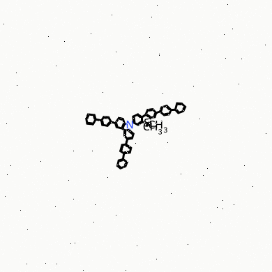 C[Si]1(C)c2cc(-c3ccc(-c4ccccc4)cc3)ccc2-c2ccc(-n3c4ccc(-c5ccc(-c6ccccc6)cc5)cc4c4cc(-c5ccc(-c6ccccc6)cc5)ccc43)cc21